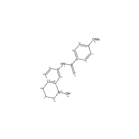 COc1ccc(C(=O)Nc2ccc3c(c2)B(O)OCC3)cc1